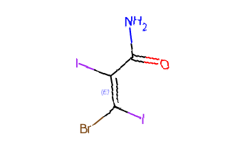 NC(=O)/C(I)=C(/Br)I